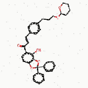 O=C(/C=C/c1ccc(CCCOC2CCCCO2)cc1)c1ccc2c(c1O)OC(c1ccccc1)(c1ccccc1)O2